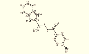 CCC(CCC(=O)c1ccc(Br)cc1)c1nc2ccccc2s1